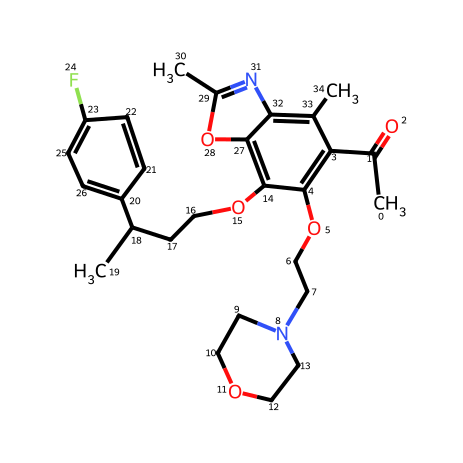 CC(=O)c1c(OCCN2CCOCC2)c(OCCC(C)c2ccc(F)cc2)c2oc(C)nc2c1C